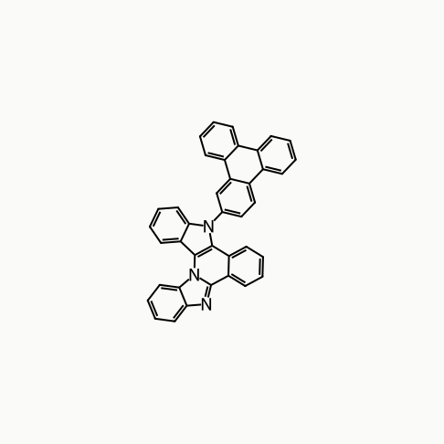 c1ccc2c(c1)nc1c3ccccc3c3c(c4ccccc4n3-c3ccc4c5ccccc5c5ccccc5c4c3)n21